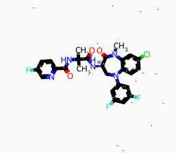 CN1C(=O)[C@H](NC(=O)C(C)(C)NC(=O)c2ccc(F)cn2)CN(c2cc(F)cc(F)c2)c2ccc(Cl)cc21